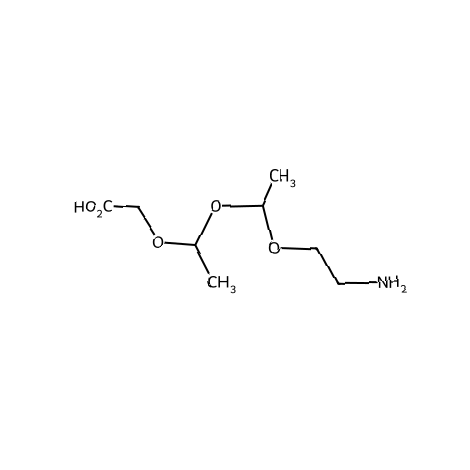 CC(OCCN)OC(C)OCC(=O)O